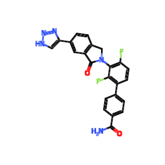 NC(=O)c1ccc(-c2ccc(F)c(N3Cc4ccc(-c5c[nH]nn5)cc4C3=O)c2F)cc1